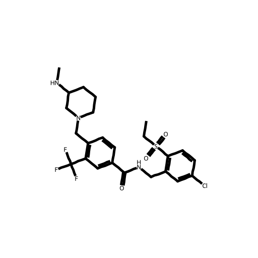 CCS(=O)(=O)c1ccc(Cl)cc1CNC(=O)c1ccc(CN2CCCC(NC)C2)c(C(F)(F)F)c1